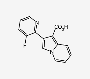 O=C(O)c1c(-c2ncccc2F)cn2ccccc12